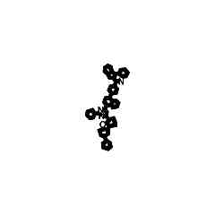 c1ccc(-c2ccc3oc4c(-c5cc(-c6ccc(-c7ccc(-c8nc9ccccc9c9c8Cc8ccccc8-9)cc7)c7ccccc67)nc(-c6ccccc6)n5)cccc4c3c2)cc1